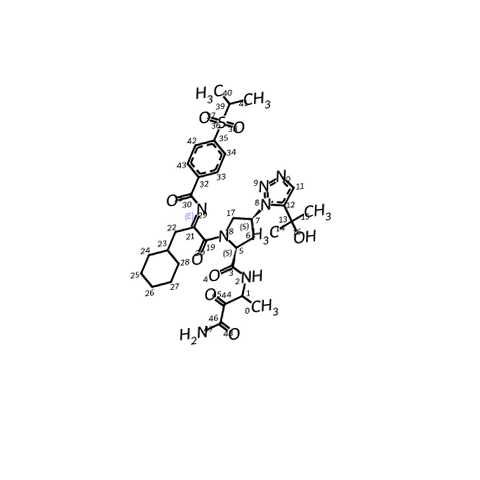 CC(NC(=O)[C@@H]1C[C@H](n2nncc2C(C)(C)O)CN1C(=O)/C(CC1CCCCC1)=N/C(=O)c1ccc(S(=O)(=O)C(C)C)cc1)C(=O)C(N)=O